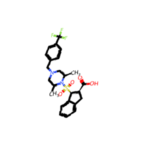 CC1CN(Cc2ccc(C(F)(F)F)cc2)CC(C)N1S(=O)(=O)[C@@H]1c2ccccc2C[C@@H]1C(=O)O